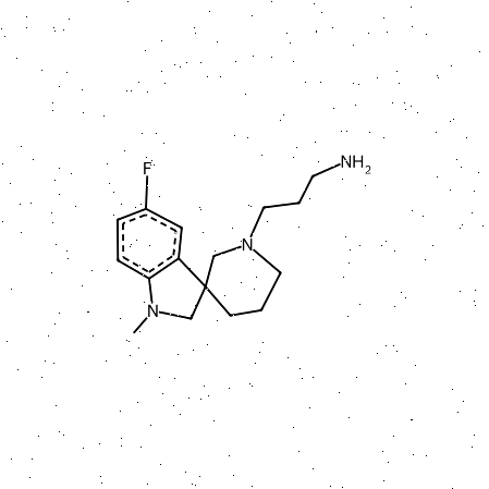 CN1CC2(CCCN(CCCN)C2)c2cc(F)ccc21